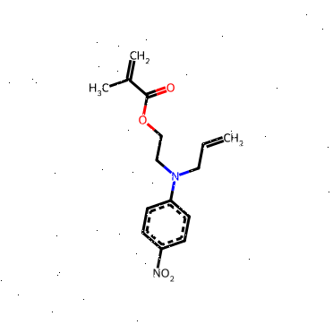 C=CCN(CCOC(=O)C(=C)C)c1ccc([N+](=O)[O-])cc1